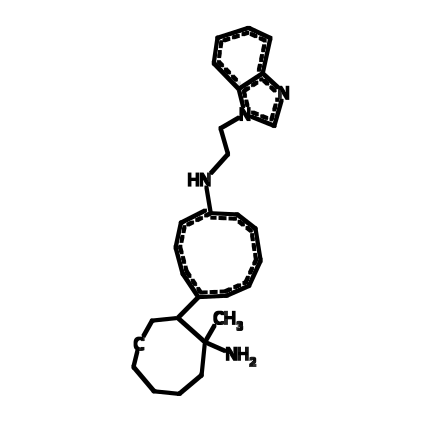 CC1(N)CCCCCCC1c1cccccc(NCCn2cnc3ccccc32)ccc1